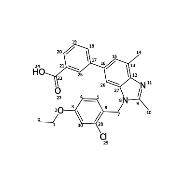 CCOc1ccc(Cn2c(C)nc3c(C)cc(-c4cccc(C(=O)O)c4)cc32)c(Cl)c1